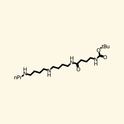 CCCNCCCCNCCCCNC(=O)CCCNC(=O)OC(C)(C)C